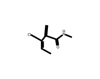 C=C(C(=O)NC)/C(Cl)=C\C